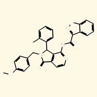 COc1ccc(CN2C(=O)c3ccnc(NC(=O)c4nsc5ccccc45)c3C2c2ccccc2C)cc1